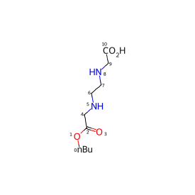 CCCCOC(=O)CNCCNCC(=O)O